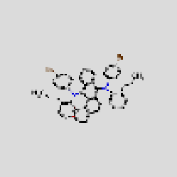 CCCc1ccccc1N(c1ccc(Br)cc1)c1c2ccccc2c(N(c2ccc(Br)cc2)c2ccccc2CCC)c2c1ccc1ccccc12